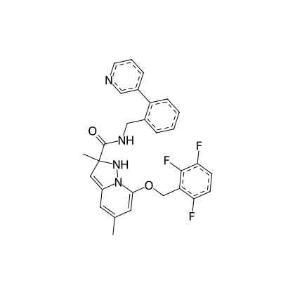 CC1=CC2=CC(C)(C(=O)NCc3ccccc3-c3cccnc3)NN2C(OCc2c(F)ccc(F)c2F)=C1